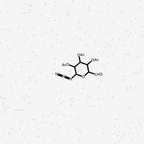 CC(=O)OC1C(C=O)OC(N=[N+]=[N-])C(OC(C)=O)C1OC(C)=O